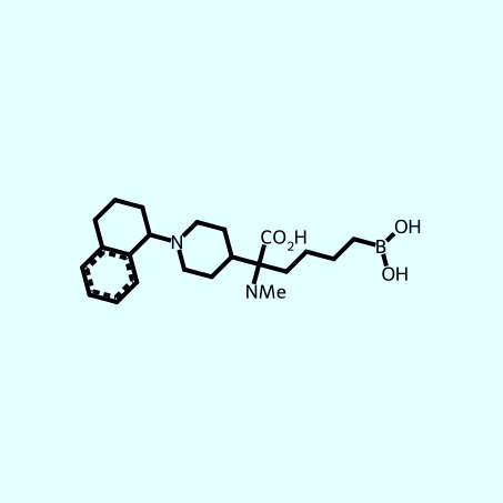 CNC(CCCCB(O)O)(C(=O)O)C1CCN(C2CCCc3ccccc32)CC1